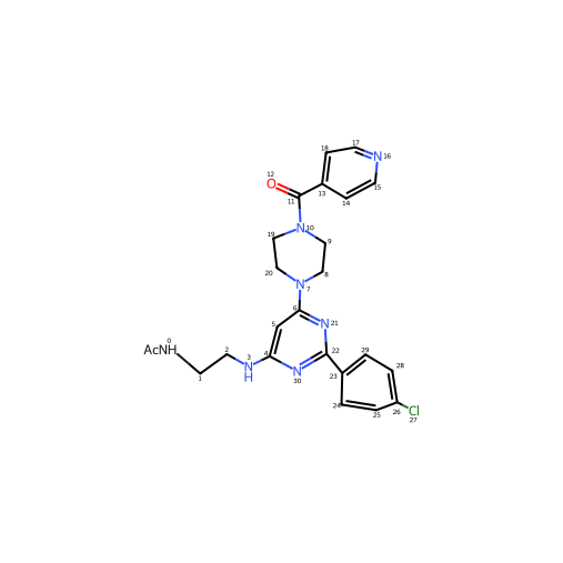 CC(=O)NCCNc1cc(N2CCN(C(=O)c3ccncc3)CC2)nc(-c2ccc(Cl)cc2)n1